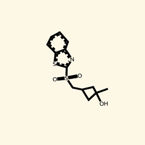 CC1(O)CC(CS(=O)(=O)c2nc3ccccc3s2)C1